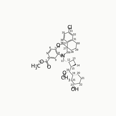 COC(=O)c1ccc2c(c1)N(C[C@@H]1CC[C@H]1[C@@H](OC)[C@@H]1CCC[C@H](O)C1)CC1(CCCc3cc(Cl)ccc31)CO2